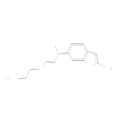 CN(CCOCCC(=O)O)c1ccc2cc(C=O)sc2c1